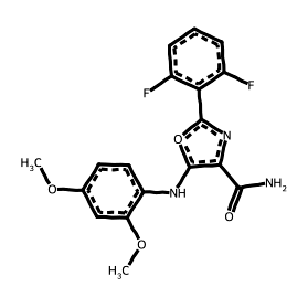 COc1ccc(Nc2oc(-c3c(F)cccc3F)nc2C(N)=O)c(OC)c1